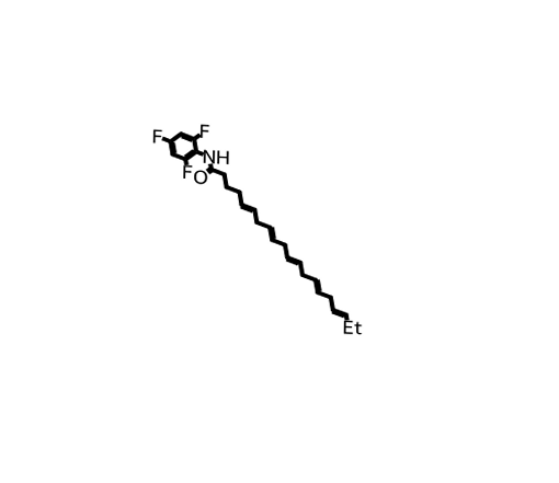 CCC=CCC=CCC=CCC=CCC=CCCCC(=O)Nc1c(F)cc(F)cc1F